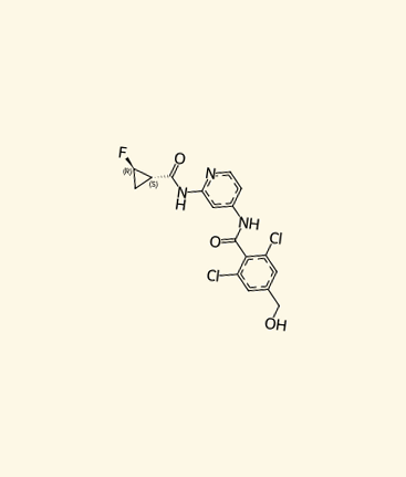 O=C(Nc1ccnc(NC(=O)[C@@H]2C[C@H]2F)c1)c1c(Cl)cc(CO)cc1Cl